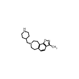 Cc1noc2c3c(ccc12)CCN(CC1CCNCC1)CC3